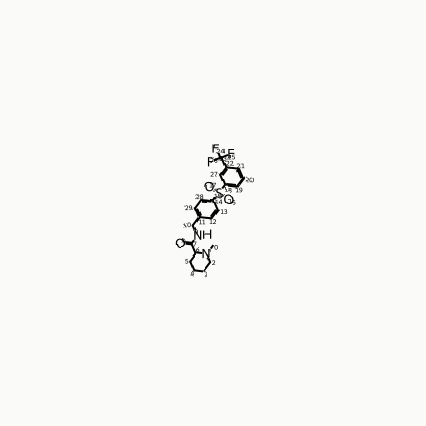 CN1CCCCC1C(=O)NCc1ccc(S(=O)(=O)c2cccc(C(F)(F)F)c2)cc1